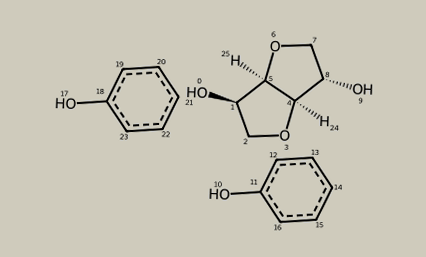 O[C@@H]1CO[C@H]2[C@@H]1OC[C@@H]2O.Oc1ccccc1.Oc1ccccc1